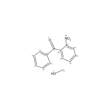 CO.O=C(c1ccccc1)c1ccccc1[N+](=O)[O-]